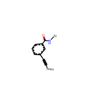 CCCCCCC#Cc1cccc(C(=O)NCC)c1